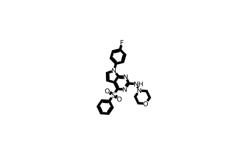 O=S(=O)(c1ccccc1)c1nc(NN2CCOCC2)nc2c1ccn2-c1ccc(F)cc1